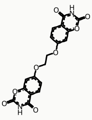 O=c1[nH]c(=O)c2ccc(OCCOc3ccc4c(=O)[nH]c(=O)oc4c3)cc2o1